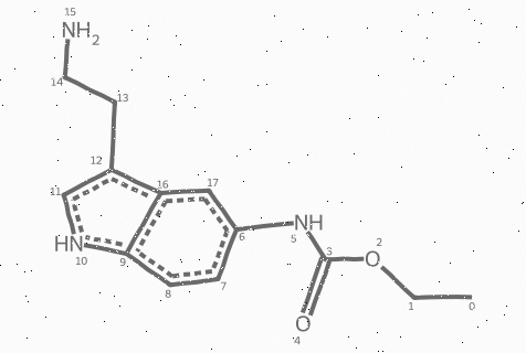 CCOC(=O)Nc1ccc2[nH]cc(CCN)c2c1